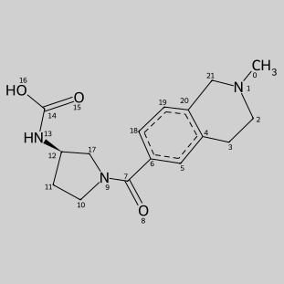 CN1CCc2cc(C(=O)N3CC[C@@H](NC(=O)O)C3)ccc2C1